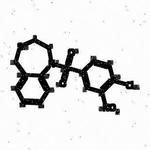 O=[N+]([O-])c1cc(S(=O)(=O)N2CCSCc3ccccc32)ccc1Cl